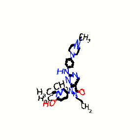 C=CCn1c(=O)c2cnc(Nc3ccc(N4CCN(C)CC4)cc3)nc2n1C1=CN(C(C)(C)C)C(O)C=C1